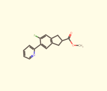 COC(=O)C1Cc2cc(F)c(-c3ccccn3)cc2C1